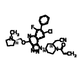 C=CC(=O)N1CC[C@H](n2nnc3c(OC[C@@H]4CCCN4C)nc4c(F)c(-c5ccccc5)c(Cl)cc4c32)C[C@H]1CC#N